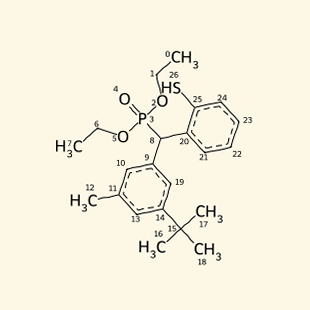 CCOP(=O)(OCC)C(c1cc(C)cc(C(C)(C)C)c1)c1ccccc1S